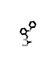 CNC(=S)NCc1ccccc1Oc1ccccc1